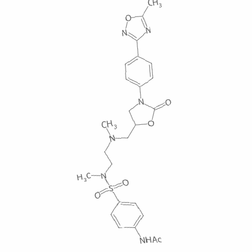 CC(=O)Nc1ccc(S(=O)(=O)N(C)CCN(C)CC2CN(c3ccc(-c4noc(C)n4)cc3)C(=O)O2)cc1